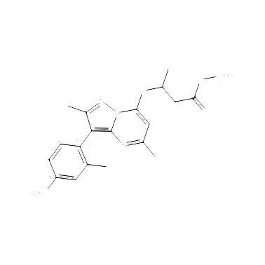 COOC(=O)CC(C)Nc1cc(C)nc2c(-c3ccc(OC)cc3C)c(C)nn12